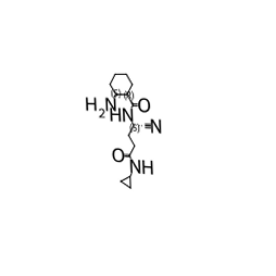 N#C[C@H](CCC(=O)NC1CC1)NC(=O)[C@@H]1CCCC[C@@H]1N